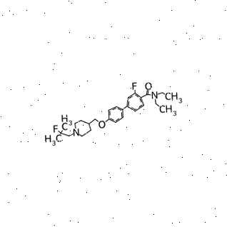 CCN(CC)C(=O)c1ccc(-c2ccc(OCC3CCN(CC(C)(C)F)CC3)cc2)cc1F